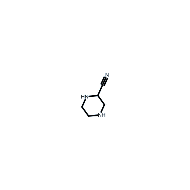 N#CC1[CH]NCCN1